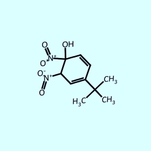 CC(C)(C)C1=CC([N+](=O)[O-])C(O)([N+](=O)[O-])C=C1